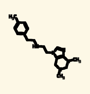 Cc1ccc(CCNCCn2cnc3c2CN(C)CN3C)cc1